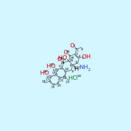 CC(=O)C1=C(O)[C@H](N)[C@@H]2Cc3c(c(O)c4c(O)c(C)ccc4c3C)C(=O)[C@]2(O)C1=O.Cl